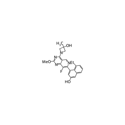 CCc1cccc2cc(O)cc(-c3ncc4c(N5CC(C)(O)C5)nc(OC)nc4c3F)c12